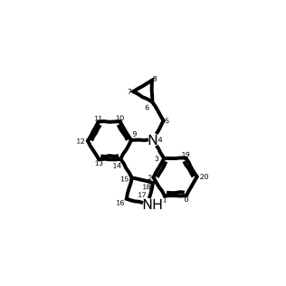 c1ccc(N(CC2CC2)c2ccccc2C2CNC2)cc1